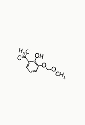 COCOc1cccc(C(C)=O)c1O